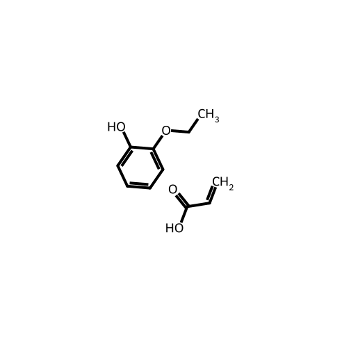 C=CC(=O)O.CCOc1ccccc1O